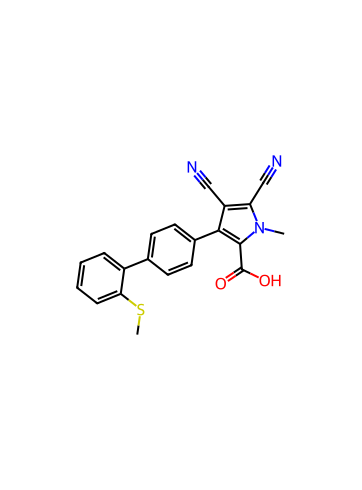 CSc1ccccc1-c1ccc(-c2c(C#N)c(C#N)n(C)c2C(=O)O)cc1